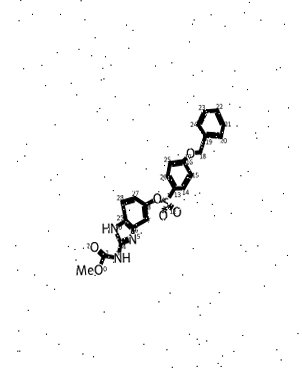 COC(=O)Nc1nc2cc(OS(=O)(=O)c3ccc(OCc4ccccc4)cc3)ccc2[nH]1